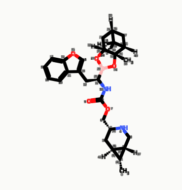 C[C@H]1[C@H]2CN[C@@H](COC(=O)N[C@@H](Cc3coc4ccccc34)B3O[C@@H]4C[C@@H]5C[C@@H](C5(C)C)[C@]4(C)O3)C[C@H]12